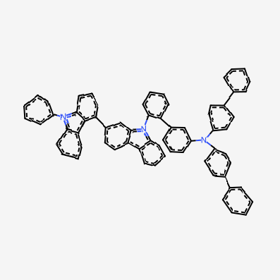 c1ccc(-c2ccc(N(c3ccc(-c4ccccc4)cc3)c3cccc(-c4ccccc4-n4c5ccccc5c5ccc(-c6cccc7c6c6ccccc6n7-c6ccccc6)cc54)c3)cc2)cc1